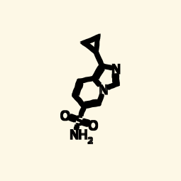 NS(=O)(=O)c1ccc2c(C3CC3)ncn2c1